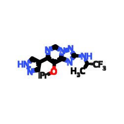 CC(C)Oc1c(-c2cn[nH]c2)ncn2nc(N[C@H](C)C(F)(F)F)nc12